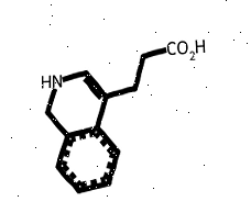 O=C(O)CCC1=CNCc2ccccc21